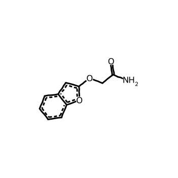 NC(=O)COc1cc2ccccc2o1